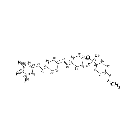 CCCC1CCC(C(F)(F)OC2CCC(/C=C/C3CCC(CCc4cc(F)c(F)c(F)c4)CC3)CC2)CC1